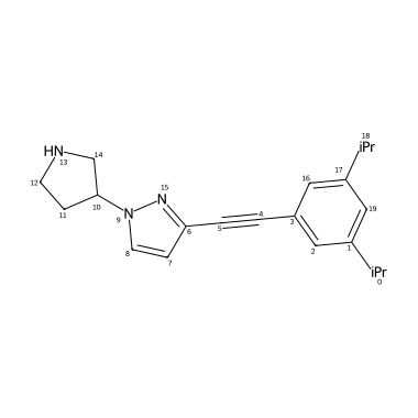 CC(C)c1cc(C#Cc2ccn(C3CCNC3)n2)cc(C(C)C)c1